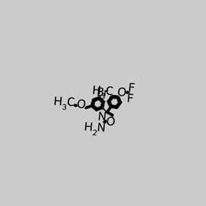 CCOCc1cc(Br)cc([C@@]2(c3ccc(OC(F)F)c(C)c3)COC(N)=N2)c1